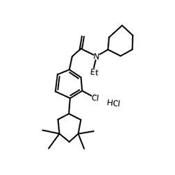 C=C(Cc1ccc(C2CC(C)(C)CC(C)(C)C2)c(Cl)c1)N(CC)C1CCCCC1.Cl